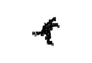 C[C@H](CCC(=O)OCCN(C)C)C1CC[C@H]2C3[C@H](OC(=O)CCN)CC4C[C@H](OC(=O)CCN)CC[C@]4(C)[C@H]3C[C@H](OC(=O)CCN)[C@]12C